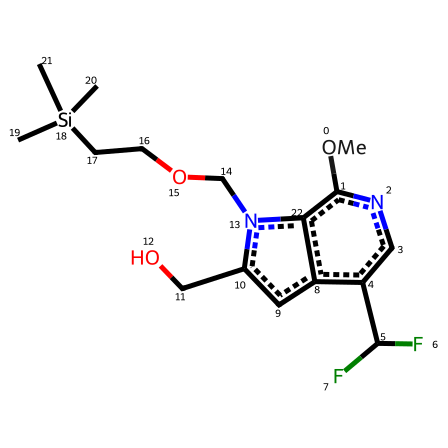 COc1ncc(C(F)F)c2cc(CO)n(COCC[Si](C)(C)C)c12